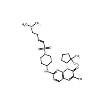 CN(C)CC/C=C/S(=O)(=O)N1CCC(Nc2ncc3cc(C#N)c(=O)n([C@@H]4CCCC4(C)C)c3n2)CC1